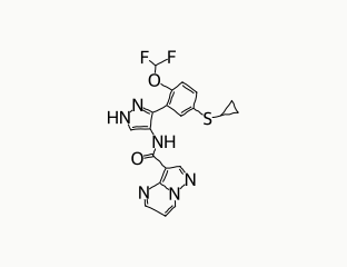 O=C(Nc1c[nH]nc1-c1cc(SC2CC2)ccc1OC(F)F)c1cnn2cccnc12